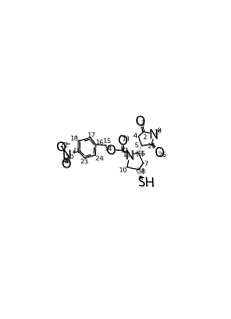 CN1C(=O)CC([C@@H]2C[C@H](S)CN2C(=O)OCc2ccc([N+](=O)[O-])cc2)C1=O